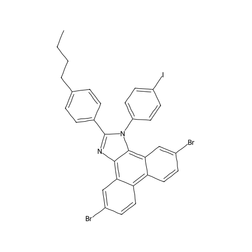 CCCCc1ccc(-c2nc3c4cc(Br)ccc4c4ccc(Br)cc4c3n2-c2ccc(I)cc2)cc1